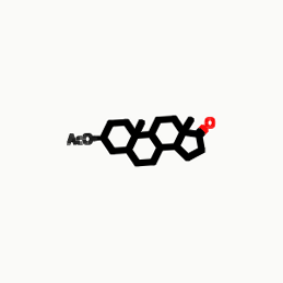 CC(=O)O[C@H]1CCC2(C)C(CCC3C4CCC(=O)C4(C)CCC32)C1